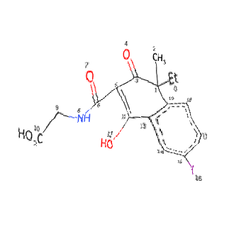 CCC1(C)C(=O)C(C(=O)NCC(=O)O)=C(O)c2cc(I)ccc21